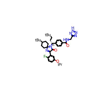 CC(C)Oc1ccc(F)c(C2=NC3(CCC(C(C)(C)C)CC3)N([C@H](CCC(C)(C)C)c3ccc(C(=O)NCc4nn[nH]n4)cc3)C2=O)c1